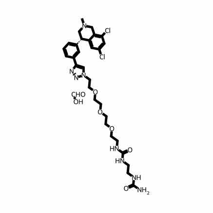 CN1Cc2c(Cl)cc(Cl)cc2[C@H](c2cccc(-c3cn(CCOCCOCCOCCNC(=O)NCCNC(N)=O)nn3)c2)C1.O=CO